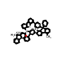 Cc1cccc2c1-c1cccc(C)c1C2(c1ccccc1)c1ccc(-c2cccc3c2sc2c(N(c4ccc5c(c4)C(C)(C)c4ccccc4-5)c4ccccc4-c4ccccc4)cccc23)cc1